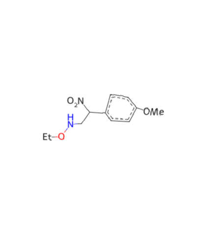 CCONCC(c1ccc(OC)cc1)[N+](=O)[O-]